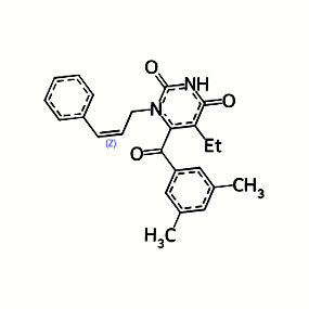 CCc1c(C(=O)c2cc(C)cc(C)c2)n(C/C=C\c2ccccc2)c(=O)[nH]c1=O